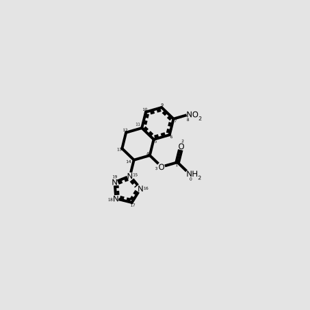 NC(=O)OC1c2cc([N+](=O)[O-])ccc2CCC1n1ncnn1